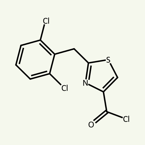 O=C(Cl)c1csc(Cc2c(Cl)cccc2Cl)n1